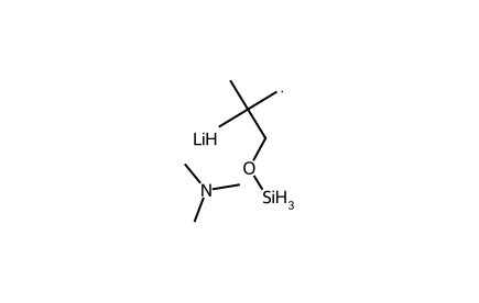 CN(C)C.[CH2]C(C)(C)CO[SiH3].[LiH]